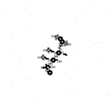 CCCOc1cc(N=Nc2cc(OCCCS(=O)(=O)O)c(N=Nc3c(C)c(C#N)c4nc5ccccc5n4c3O)cc2CO)c(SCCCS(=O)(=O)O)cc1N=Nc1nc2c(S(=O)(=O)O)cc3ccc(S(=O)(=O)O)cc3c2s1